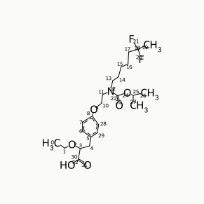 CCOC(Cc1ccc(OCCN(CCCCCC(C)(F)F)C(=O)OC(C)C)cc1)C(=O)O